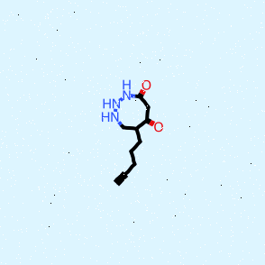 C#CCCCC1CNNNC(=O)CC1=O